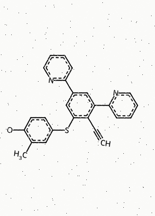 C#Cc1c(Sc2ccc([O])c(C)c2)cc(-c2ccccn2)cc1-c1ccccn1